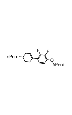 CCCCCOc1ccc(C2=CCC(CCCCC)CC2)c(F)c1F